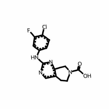 O=C(O)N1CCc2cnc(Nc3ccc(Cl)c(F)c3)nc2C1